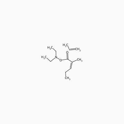 C=CC.CCC=C(C)C(=O)ON(CC)CC